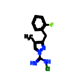 Cc1cn(C(=N)NCl)nc1Cc1ccccc1F